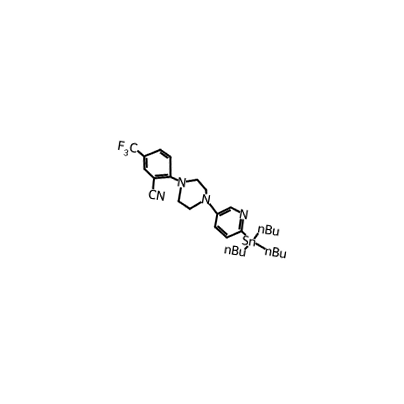 CCC[CH2][Sn]([CH2]CCC)([CH2]CCC)[c]1ccc(N2CCN(c3ccc(C(F)(F)F)cc3C#N)CC2)cn1